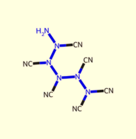 N#CN(N)N(C#N)N(C#N)N(C#N)N(C#N)C#N